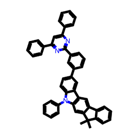 CC1(C)c2ccccc2-c2cc3c4cc(-c5cccc(-c6nc(-c7ccccc7)cc(-c7ccccc7)n6)c5)ccc4n(-c4ccccc4)c3cc21